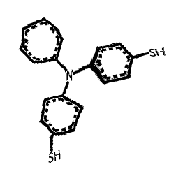 Sc1ccc(N(c2ccccc2)c2ccc(S)cc2)cc1